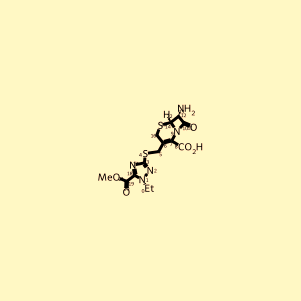 CCn1nc(SCC2=C(C(=O)O)N3C(=O)[C@@H](N)[C@H]3SC2)nc1C(=O)OC